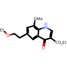 CCOCCc1cc(OC)c2[nH]cc(C(=O)OCC)c(=O)c2c1